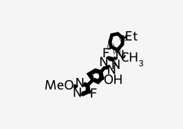 CC[C@@H]1CCC[C@H](F)[C@H](N(C)c2cnc(-c3ccc(-c4nc(OC)ncc4F)cc3O)nn2)C1